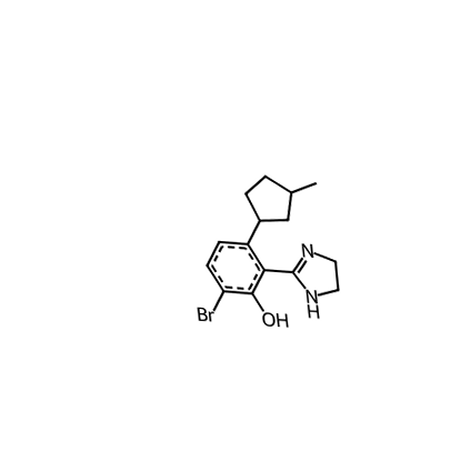 CC1CCC(c2ccc(Br)c(O)c2C2=NCCN2)C1